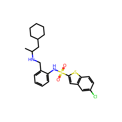 CC(CC1CCCCC1)NCc1ccccc1NS(=O)(=O)c1cc2cc(Cl)ccc2s1